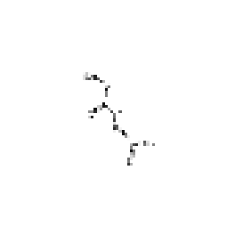 CCCCOC(=O)NN=S(=O)=O